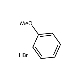 Br.COc1ccccc1